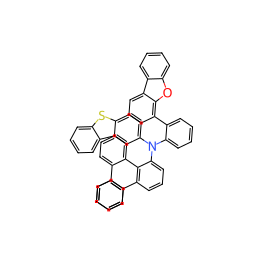 c1ccc(-c2ccccc2-c2c(-c3ccccc3)cccc2N(c2ccc3sc4ccccc4c3c2)c2ccccc2-c2cccc3c2oc2ccccc23)cc1